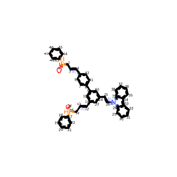 O=[PH](C/C=C/c1ccc(-c2cc(/C=C/C[PH](=O)c3ccccc3)cc(/C=C/n3c4ccccc4c4ccccc43)c2)cc1)c1ccccc1